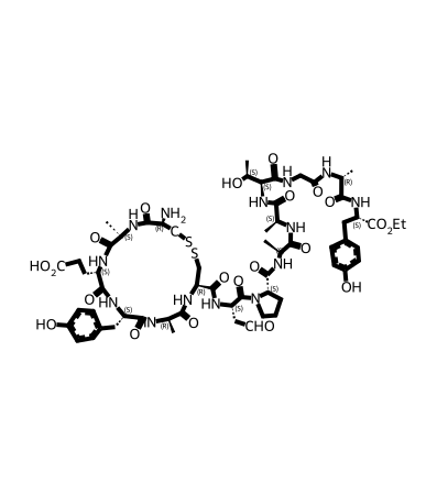 CCOC(=O)[C@H](Cc1ccc(O)cc1)NC(=O)[C@@H](C)NC(=O)CNC(=O)[C@@H](NC(=O)[C@H](C)NC(=O)[C@H](C)NC(=O)[C@@H]1CCCN1C(=O)[C@H](CC=O)NC(=O)[C@@H]1CSSC[C@H](N)C(=O)N[C@@H](C)C(=O)N[C@@H](CCC(=O)O)C(=O)N[C@@H](Cc2ccc(O)cc2)C(=O)N[C@H](C)C(=O)N1)[C@H](C)O